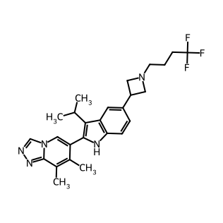 Cc1c(-c2[nH]c3ccc(C4CN(CCCC(F)(F)F)C4)cc3c2C(C)C)cn2cnnc2c1C